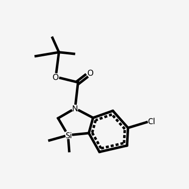 CC(C)(C)OC(=O)N1C[Si](C)(C)c2ccc(Cl)cc21